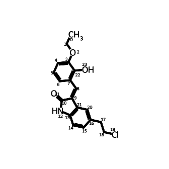 CCOc1cccc(C=C2C(=O)Nc3ccc(CCCl)cc32)c1O